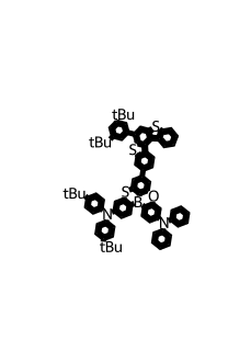 CC(C)(C)c1ccc(N(c2ccc(C(C)(C)C)cc2)c2ccc3c(c2)Sc2cc(-c4ccc5c(c4)sc4c(-c6cc(C(C)(C)C)cc(C(C)(C)C)c6)cc6sc7ccccc7c6c45)cc4c2B3c2ccc(N(c3ccccc3)c3ccccc3)cc2O4)cc1